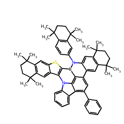 CC1(C)CCC(C)(C)c2cc(N3B4c5sc6cc7c(cc6c5-n5c6ccccc6c6c(-c8ccccc8)cc(c4c65)-c4cc5c(cc43)C(C)(C)CCC5(C)C)C(C)(C)CCC7(C)C)ccc21